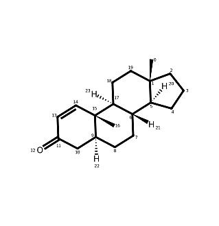 C[C@@]12CCC[C@H]1[C@@H]1CC[C@H]3CC(=O)C=C[C@]3(C)[C@H]1CC2